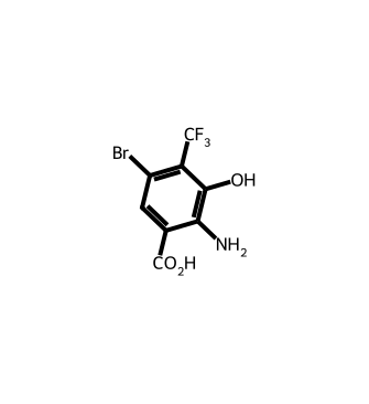 Nc1c(C(=O)O)cc(Br)c(C(F)(F)F)c1O